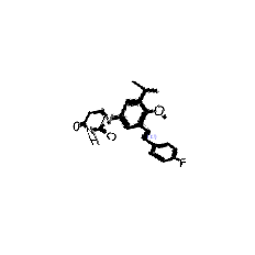 COc1c(/C=C/c2ccc(F)cc2)cc(N2CCC(=O)NC2=O)cc1C(C)C